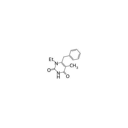 CCn1c(Cc2ccccc2)c(C)c(=O)[nH]c1=O